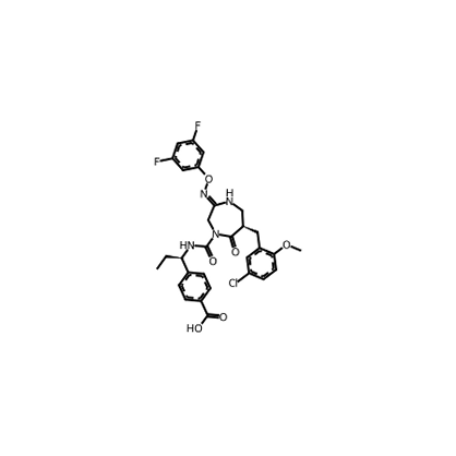 CC[C@@H](NC(=O)N1C/C(=N/Oc2cc(F)cc(F)c2)NC[C@@H](Cc2cc(Cl)ccc2OC)C1=O)c1ccc(C(=O)O)cc1